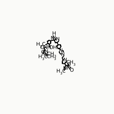 CCCC(C(=O)NC=O)c1ccc(CCN2CCN(c3ccc(-c4cnc5[nH]nc(-c6ccc([C@@H](C)NC(=O)c7nc(C(C)(C)C)no7)c(CO)c6)c5c4)cc3)CC2)nc1C